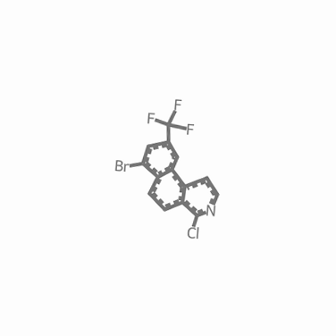 FC(F)(F)c1cc(Br)c2ccc3c(Cl)nccc3c2c1